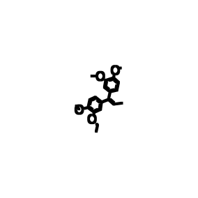 C/C=C(\c1ccc(OC)c(OC)c1)c1ccc(OC)c(OCC)c1